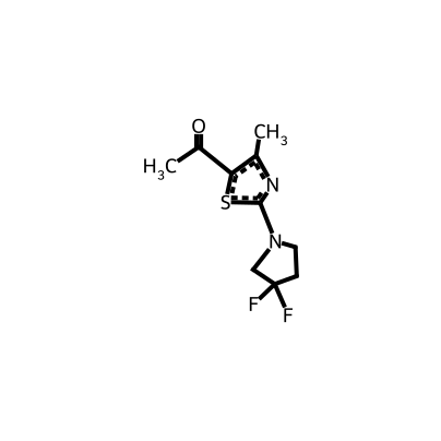 CC(=O)c1sc(N2CCC(F)(F)C2)nc1C